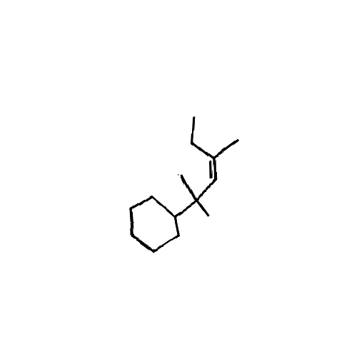 [CH2]C(C)(C=C(C)CC)C1CCCCC1